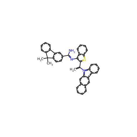 C=C(c1sc2ccccc2c1/N=C(\N)c1ccc2c(c1)-c1ccccc1C2(C)C)n1c2ccccc2c2cc3ccccc3cc21